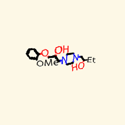 CCC(O)CN1CCN(CC(O)COc2ccccc2OC)CC1